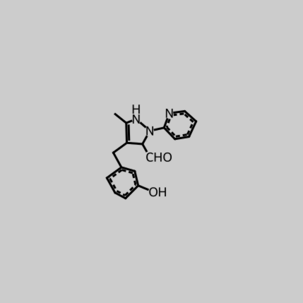 CC1=C(Cc2cccc(O)c2)C(C=O)N(c2ccccn2)N1